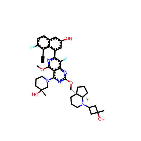 C#Cc1c(F)ccc2cc(O)cc(-c3nc(OC)c4c(N5CCC[C@@](C)(O)C5)nc(OC[C@]56CCC[C@H]5N(C5CC(C)(O)C5)CCC6)nc4c3F)c12